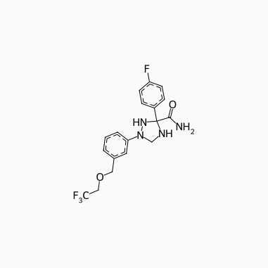 NC(=O)C1(c2ccc(F)cc2)NCN(c2cccc(COCC(F)(F)F)c2)N1